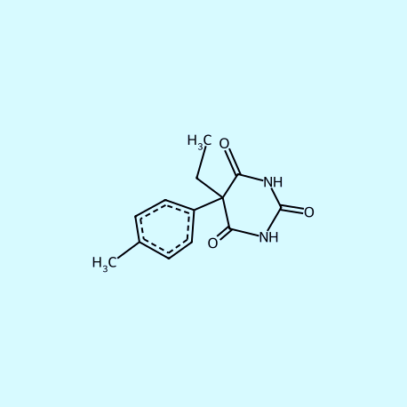 CCC1(c2ccc(C)cc2)C(=O)NC(=O)NC1=O